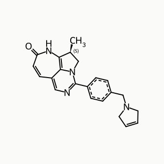 C[C@H]1CN2C(c3ccc(CN4CC=CC4)cc3)=NC=C3C=CC(=O)NC1=C32